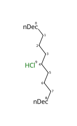 CCCCCCCCCCCCCCCCCCCCCCCCCCC.Cl